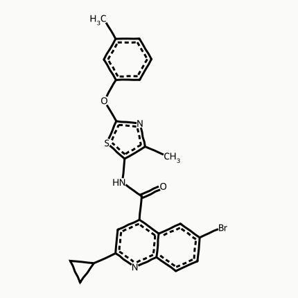 Cc1cccc(Oc2nc(C)c(NC(=O)c3cc(C4CC4)nc4ccc(Br)cc34)s2)c1